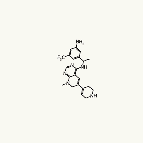 C[C@@H](Nc1ncnc2c1C=C(C1=CCNCC1)CN2C)c1cc(N)cc(C(F)(F)F)c1